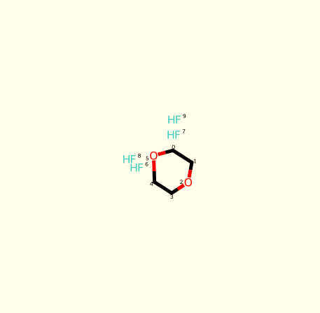 C1COCCO1.F.F.F.F